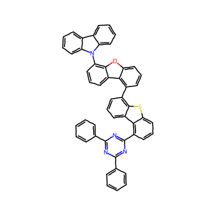 c1ccc(-c2nc(-c3ccccc3)nc(-c3cccc4sc5c(-c6cccc7oc8c(-n9c%10ccccc%10c%10ccccc%109)cccc8c67)cccc5c34)n2)cc1